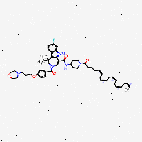 CC/C=C\C/C=C\C/C=C\C/C=C\C/C=C\CCCC(=O)N1CCC(NC(=O)C2=CN(C(=O)c3ccc(OCCCN4CCOCC4)cc3)CC(C)(C)c3c2[nH]c2cc(F)ccc32)CC1